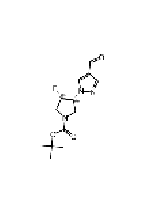 CC(C)(C)OC(=O)N1C[C@@H](n2cc(C=O)cn2)[C@@H](F)C1